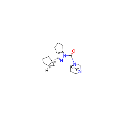 O=C(N1CCN2CCC1CC2)n1nc([C@@]23CCC[C@@H]2C3)c2c1CCC2